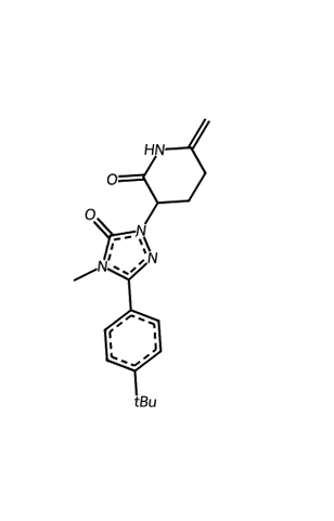 C=C1CCC(n2nc(-c3ccc(C(C)(C)C)cc3)n(C)c2=O)C(=O)N1